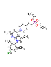 CCOP(=O)(CCC1CCN(c2cc(C)nc3c2c(C)cn3-c2c(C)cc(Br)cc2C)CC1)OCC